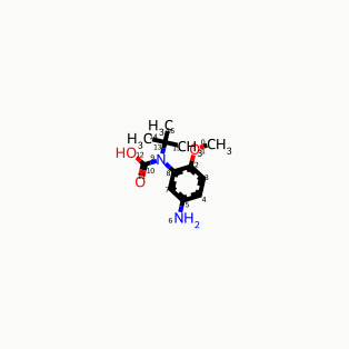 COc1ccc(N)cc1N(C(=O)O)C(C)(C)C